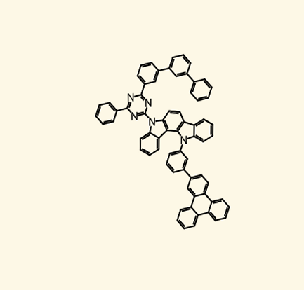 c1ccc(-c2cccc(-c3cccc(-c4nc(-c5ccccc5)nc(-n5c6ccccc6c6c5ccc5c7ccccc7n(-c7cccc(-c8ccc9c%10ccccc%10c%10ccccc%10c9c8)c7)c56)n4)c3)c2)cc1